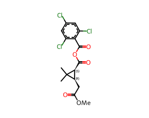 COC(=O)C[C@@H]1[C@H](C(=O)OC(=O)c2c(Cl)cc(Cl)cc2Cl)C1(C)C